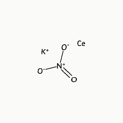 O=[N+]([O-])[O-].[Ce].[K+]